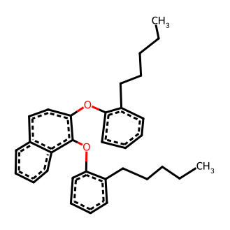 CCCCCc1ccccc1Oc1ccc2ccccc2c1Oc1ccccc1CCCCC